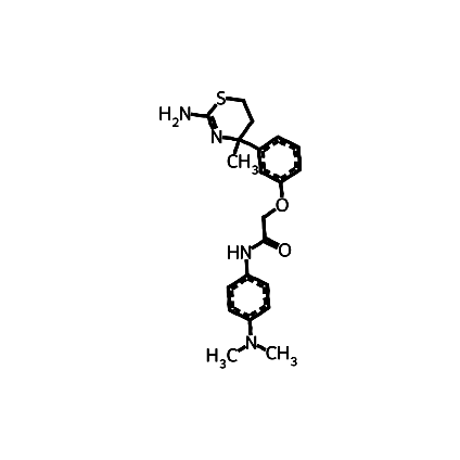 CN(C)c1ccc(NC(=O)COc2cccc(C3(C)CCSC(N)=N3)c2)cc1